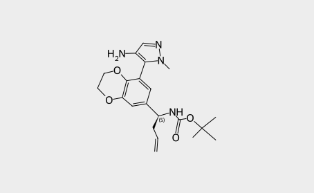 C=CC[C@H](NC(=O)OC(C)(C)C)c1cc2c(c(-c3c(N)cnn3C)c1)OCCO2